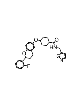 O=C(NCc1ccno1)C1CCC(Oc2ccc3c(c2)CCC(c2ccccc2F)O3)CC1